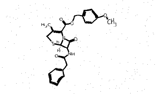 COc1ccc(COC(=O)C2=C(C)CS[C@@H]3C(NC(=O)Cc4ccccc4)C(=O)N23)cc1